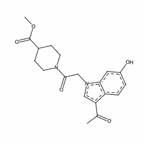 COC(=O)C1CCN(C(=O)Cn2cc(C(C)=O)c3ccc(O)cc32)CC1